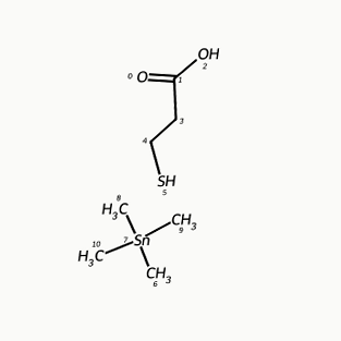 O=C(O)CCS.[CH3][Sn]([CH3])([CH3])[CH3]